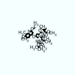 CCOc1cc(O[C@@H]2C[C@@H](C(=O)N[C@]3(C(=O)OC)C[C@H]3CC)N(C(=O)[C@@H](NC(=O)OC(C)(C)C)C(C)(C)C)C2)c2ccc(OC)c(C)c2n1